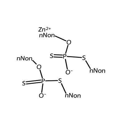 CCCCCCCCCOP([O-])(=S)SCCCCCCCCC.CCCCCCCCCOP([O-])(=S)SCCCCCCCCC.[Zn+2]